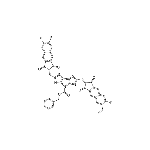 C=Cc1cc2cc3c(cc2cc1F)C(=O)/C(=C/c1nc2c(s1)c1sc(C=C4C(=O)c5cc6cc(F)c(F)cc6cc5C4=O)nc1n2C(=O)OCc1ccccc1)C3=O